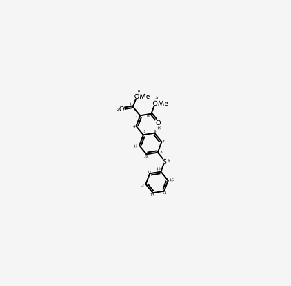 COC(=O)C(=Cc1ccc(Sc2ccccc2)cc1)C(=O)OC